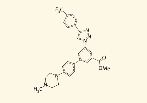 COC(=O)c1cc(-c2ccc(N3CCN(C)CC3)cc2)cc(-n2cc(-c3ccc(C(F)(F)F)cc3)nn2)c1